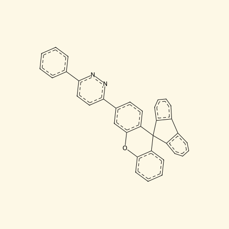 c1ccc(-c2ccc(-c3ccc4c(c3)Oc3ccccc3C43c4ccccc4-c4ccccc43)nn2)cc1